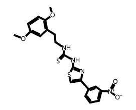 COc1ccc(OC)c(CCNC(=S)Nc2nc(-c3cccc([N+](=O)[O-])c3)cs2)c1